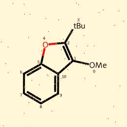 COc1c(C(C)(C)C)oc2ccccc12